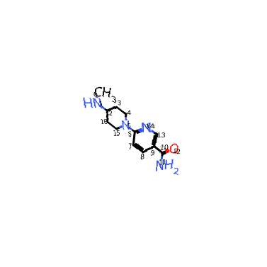 CNC1CCN(c2ccc(C(N)=O)cn2)CC1